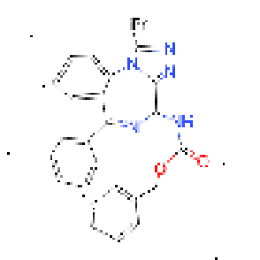 CC(C)c1nnc2n1-c1ccccc1C(c1ccccc1)=NC2NC(=O)OCc1ccccc1